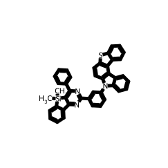 C[Si]1(C)c2ccccc2-c2nc(-c3cccc(-n4c5ccccc5c5c6c(ccc54)sc4ccccc46)c3)nc(-c3ccccc3)c21